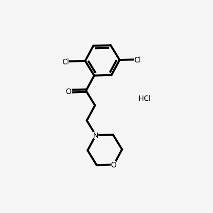 Cl.O=C(CCN1CCOCC1)c1cc(Cl)ccc1Cl